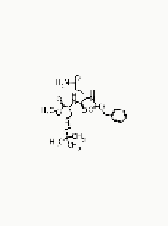 COC(=O)[C@H](CSSSC(C)(C)C)NC(=O)[C@H](CCC(N)=O)NC(=O)OCc1ccccc1